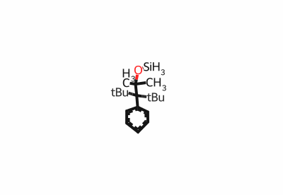 CC(C)(C)C(c1ccccc1)(C(C)(C)C)C(C)(C)O[SiH3]